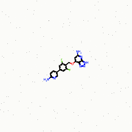 Nc1ccc(-c2cc(F)c(COc3cc(N)nc4[nH]nnc34)c(F)c2)cn1